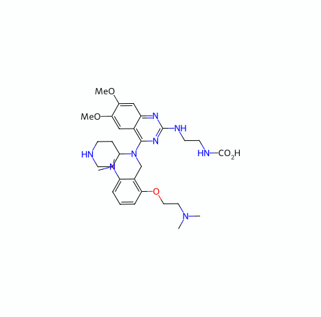 COc1cc2nc(NCCNC(=O)O)nc(N(Cc3c(OCCN(C)C)cccc3N(C)C)C3CCNCC3)c2cc1OC